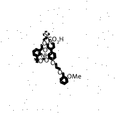 COc1ccccc1COCCCOc1ccc(C2CCN(C(=O)O)CC2OC(COCC[Si](C)(C)C)c2cccc3c2NC(=O)OC3(C)C)cc1